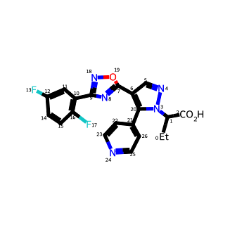 CCC(C(=O)O)n1ncc(-c2nc(-c3cc(F)ccc3F)no2)c1-c1ccncc1